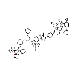 CC(C)(C)[Si](C)(C)O[C@@H](c1ccccc1-c1ccc(Cl)cc1)C1CCN(c2ccc(C(=O)NS(=O)(=O)c3ccc(N[C@H](CCN4CCO[C@H](CO[Si](c5ccccc5)(c5ccccc5)C(C)(C)C)C4)CSc4ccccc4)c(S(=O)(=O)C(F)(F)F)c3)cc2)CC1